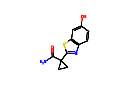 NC(=O)C1(c2nc3ccc(O)cc3s2)CC1